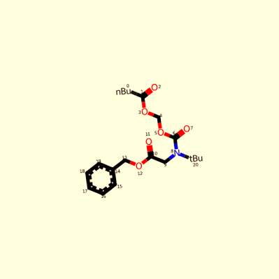 CCCCC(=O)OCOC(=O)N(CC(=O)OCc1ccccc1)C(C)(C)C